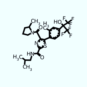 Cc1cc(C(O)(C(F)(F)F)C(F)(F)F)ccc1-c1sc(C(=O)NCC(C)C)nc1C(=O)N1CCCC1C